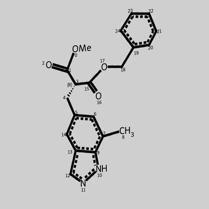 COC(=O)[C@@H](Cc1cc(C)c2[nH]ncc2c1)C(=O)OCc1ccccc1